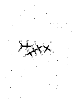 FC(F)C(F)(F)OC(F)(C(F)(F)F)C(F)(F)OC(F)(F)F